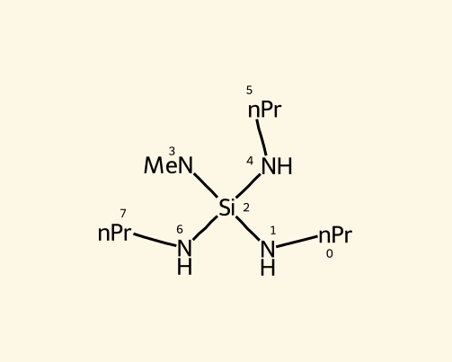 CCCN[Si](NC)(NCCC)NCCC